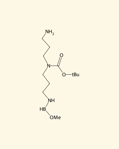 COBNCCCN(CCCN)C(=O)OC(C)(C)C